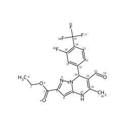 CCOC(=O)c1cc2n(n1)C(c1ccc(C(F)(F)F)c(F)c1)C(C=O)=C(C)N2